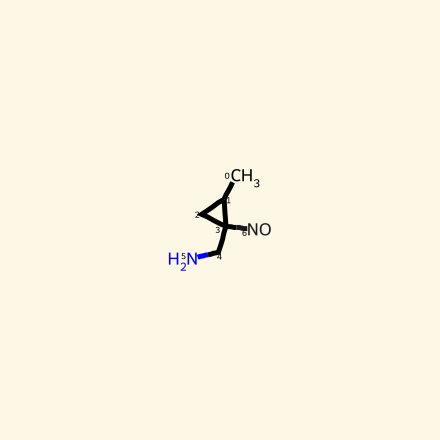 CC1CC1(CN)N=O